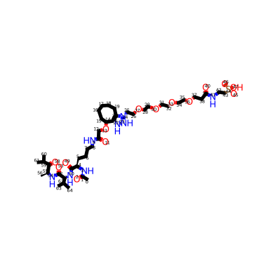 CC(=O)N[C@H](CCCCNC(=O)COC1CCCCCC2=C1NNN2CCOCCOCCOCCOCCC(=O)NCCS(=O)(=O)O)C(=O)N[C@H](C(=O)N[C@@H](C)C(=O)C(C)C)C(C)C